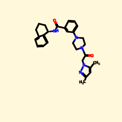 Cc1cc(C)n(CC(=O)N2CCN(c3cccc(C(=O)N[C@@H]4CCCc5ccccc54)c3)CC2)n1